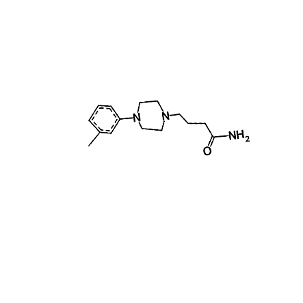 Cc1cccc(N2CCN(CCCC(N)=O)CC2)c1